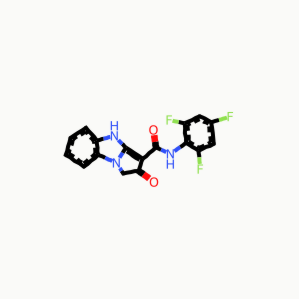 O=C1CN2C(=C1C(=O)Nc1c(F)cc(F)cc1F)Nc1ccccc12